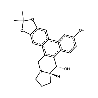 CC1(C)Oc2cc3c4c(c5ccc(O)cc5c3cc2O1)[C@H](O)[C@@H]1CCCN1C4